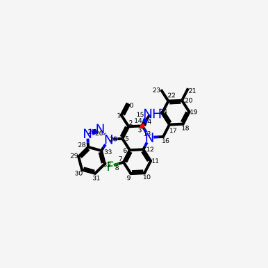 C=C/C(CC)=C(/c1c(F)cccc1N(C=N)Cc1ccc(C)c(C)c1)n1nnc2ccccc21